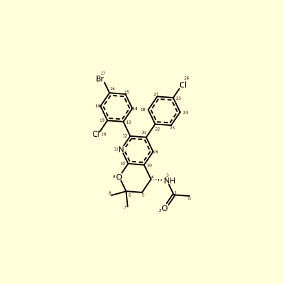 CC(=O)N[C@@H]1CC(C)(C)Oc2nc(-c3ccc(Br)cc3Cl)c(-c3ccc(Cl)cc3)cc21